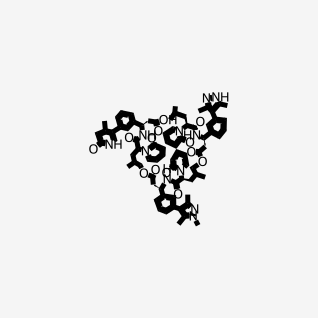 Cc1cc(=O)[nH]cc1-c1cccc([C@H](CC(=O)O)NC(=O)C(CC(C)COC(=O)C[C@H](NC(=O)[C@H](CC(C)COC(=O)C[C@H](NC(=O)[C@H](CC(C)C)n2ccccc2=O)c2cccc(-c3c(C)n[nH]c3C)c2)n2ccccc2=O)c2cccc(-c3c(C)nn(C)c3C)c2)n2ccccc2=O)c1